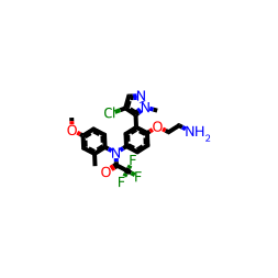 COc1ccc(N(C(=O)C(F)(F)F)c2ccc(OCCN)c(-c3c(Cl)cnn3C)c2)c(C)c1